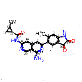 Cc1cc2c(cc1-c1cc3cc(NC(=O)[C@H]4CC4C#N)ncc3c(N)n1)C(=O)C(=O)N2